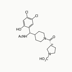 CC(=O)NC(c1cc(Cl)c(Cl)cc1O)C1CCN(C(=O)[C@@H]2CCN(C(=O)O)C2)CC1